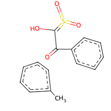 Cc1ccccc1.O=C(C(O)=S(=O)=O)c1ccccc1